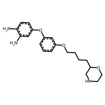 Nc1ccc(Oc2cccc(OCCCCC3CNCCO3)c2)cc1N